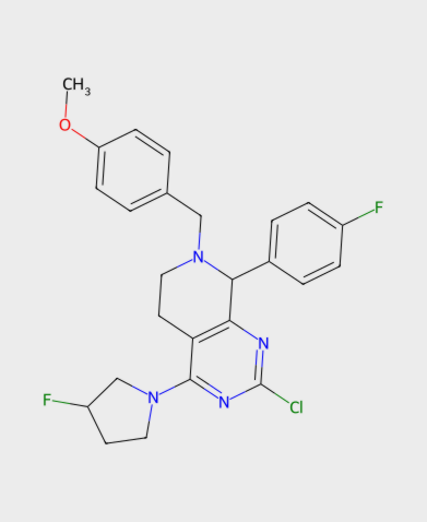 COc1ccc(CN2CCc3c(nc(Cl)nc3N3CCC(F)C3)C2c2ccc(F)cc2)cc1